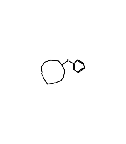 c1ccc([P]C2CCCCCCCCCCC2)cc1